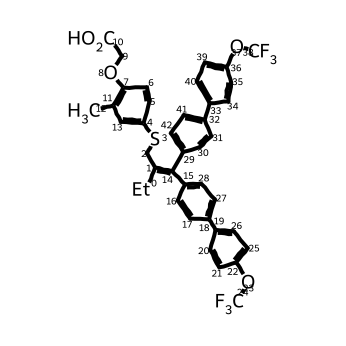 CCC(CSc1ccc(OCC(=O)O)c(C)c1)=C(c1ccc(-c2ccc(OC(F)(F)F)cc2)cc1)c1ccc(-c2ccc(OC(F)(F)F)cc2)cc1